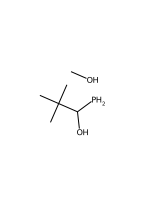 CC(C)(C)C(O)P.CO